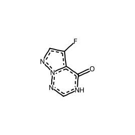 O=c1[nH]cnn2ncc(F)c12